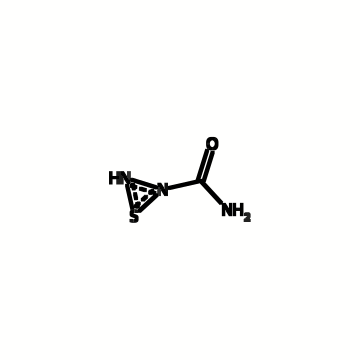 NC(=O)n1[nH]s1